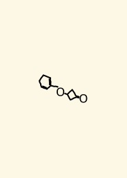 O=C1CC(OCC2=CCCC=C2)C1